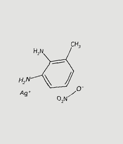 Cc1cccc(N)c1N.O=[N+]([O-])[O-].[Ag+]